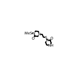 CSN1CCN(CCSN2CCNCC2=O)CC1=O